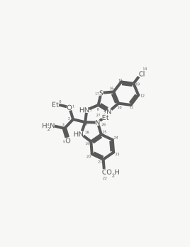 CCOC(C(N)=O)C1(Nc2nc3ccc(Cl)cc3s2)Nc2cc(C(=O)O)ccc2N1CC